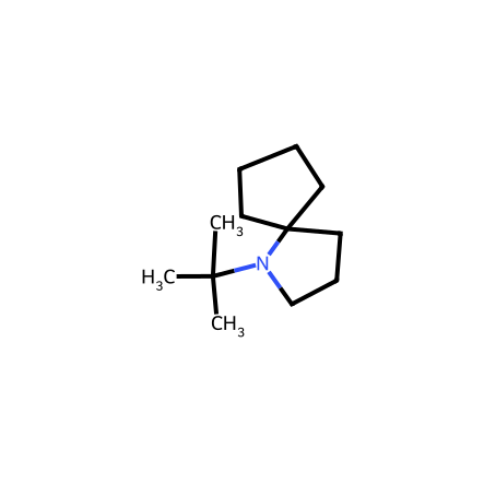 CC(C)(C)N1CCCC12CCCC2